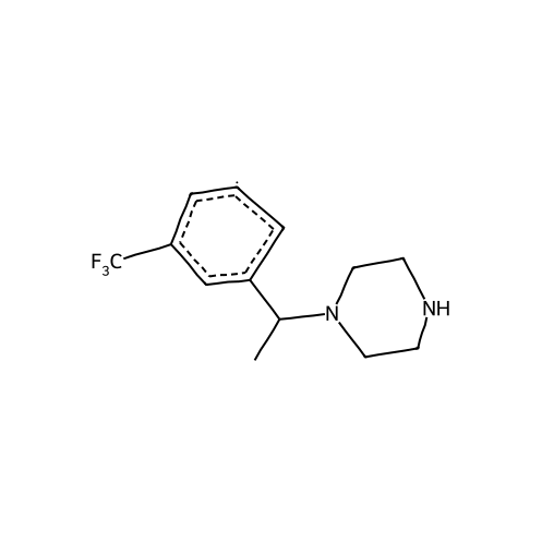 CC(c1c[c]cc(C(F)(F)F)c1)N1CCNCC1